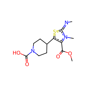 CN=c1sc(C2CCN(C(=O)O)CC2)c(C(=O)OC)n1C